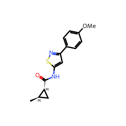 COc1ccc(-c2cc(NC(=O)[C@@H]3C[C@H]3C)sn2)cc1